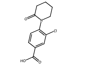 O=C(O)c1ccc(N2CCCCC2=O)c(Cl)c1